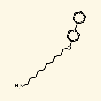 NCCCCCCCCCCOc1ccc(-c2ccccc2)cc1